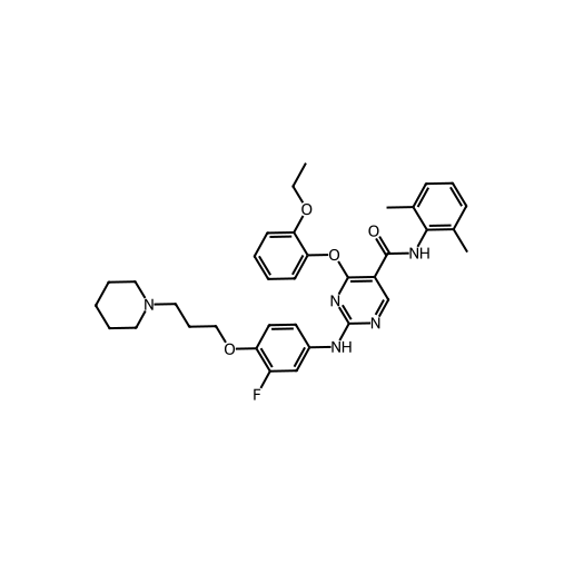 CCOc1ccccc1Oc1nc(Nc2ccc(OCCCN3CCCCC3)c(F)c2)ncc1C(=O)Nc1c(C)cccc1C